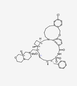 CO[C@@]1(CN2CCN3CCOC[C@@H]3C2)/C=C/C[C@H](C)[C@@H](Cc2ccccc2)S(=O)(=O)NC(=O)c2ccc3c(c2)N(CCCCc2cc(Cl)ccc2CO3)C[C@@H]2CC[C@H]21